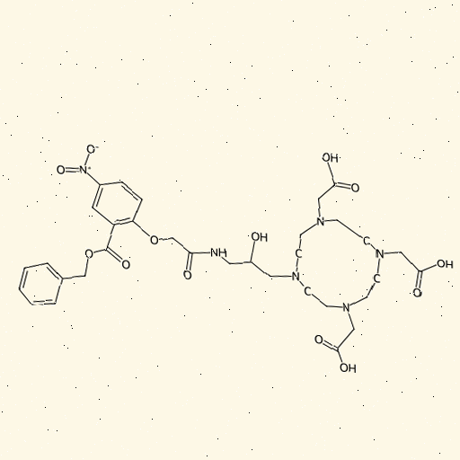 O=C(O)CN1CCN(CC(=O)O)CCN(CC(O)CNC(=O)COc2ccc([N+](=O)[O-])cc2C(=O)OCc2ccccc2)CCN(CC(=O)O)CC1